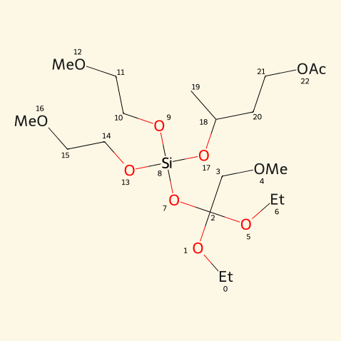 CCOC(COC)(OCC)O[Si](OCCOC)(OCCOC)OC(C)CCOC(C)=O